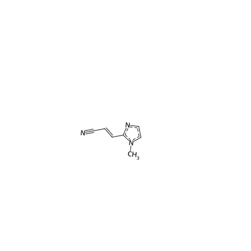 Cn1ccnc1C=CC#N